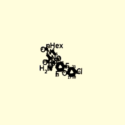 CCCCCCC(=O)N1CCN(S(=O)(=O)c2cc(F)c(Oc3ccc(Cl)cc3)c(F)c2)[C@@H](C(=O)ON)C1